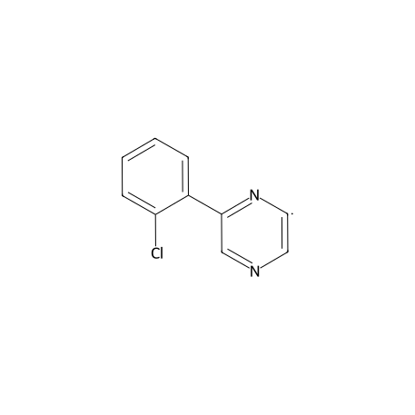 Clc1ccccc1-c1cnc[c]n1